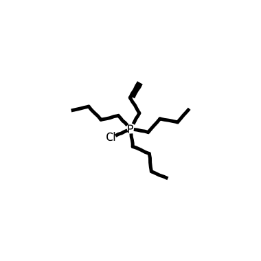 C=CCP(Cl)(CCCC)(CCCC)CCCC